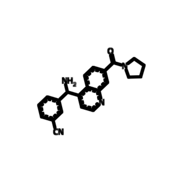 N#Cc1cccc(C(N)c2ccnc3cc(C(=O)N4CCCC4)ccc23)c1